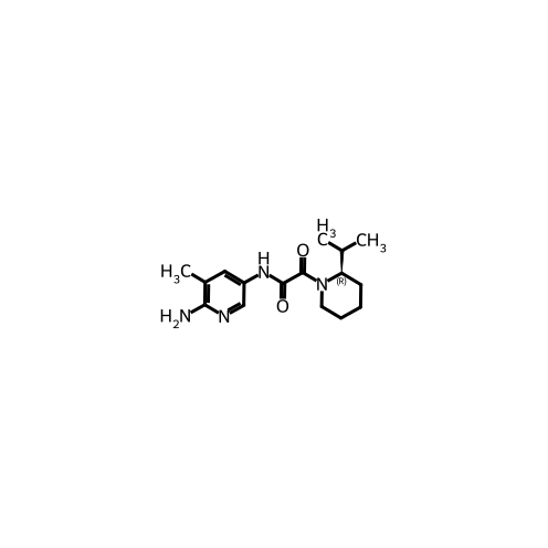 Cc1cc(NC(=O)C(=O)N2CCCC[C@@H]2C(C)C)cnc1N